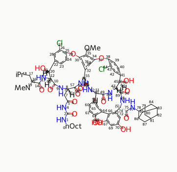 CCCCCCCCNC(=O)NC(=O)C[C@@H]1NC(=O)[C@H](NC(=O)[C@@H](CC(C)C)NC)[C@H](O)c2ccc(c(Cl)c2)Oc2cc3cc(c2OC)Oc2ccc(cc2Cl)[C@@H](O)[C@@H]2NC(=O)[C@H](NC(=O)[C@@H]3NC1=O)c1ccc(O)c(c1)-c1c(O)cc(O)cc1[C@@H](C(=O)NC1C3CC4CC(C3)CC1C4)NC2=O